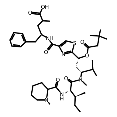 CC[C@H](C)[C@H](NC(=O)C1CCCCN1C)C(=O)N(C)[C@H](C[C@@H](OC(=O)CC(C)(C)C)c1nc(C(=O)NC(Cc2ccccc2)CC(C)C(=O)O)cs1)C(C)C